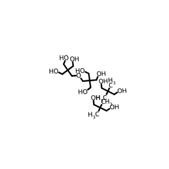 CC(C)(CO)CO.CC(C)(CO)CO.OCC(CO)(CO)COCC(CO)(CO)CO